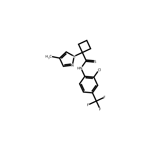 Cc1cnn(C2(C(=S)Nc3ccc(C(F)(F)F)cc3Cl)CCC2)c1